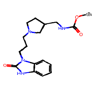 CC(C)(C)OC(=O)NCC1CCN(CCCn2c(=O)[nH]c3ccccc32)C1